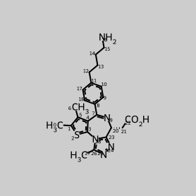 Cc1sc2c(c1C)C(c1ccc(CCCCN)cc1)=N[C@H](CC(=O)O)c1nnc(C)n1-2